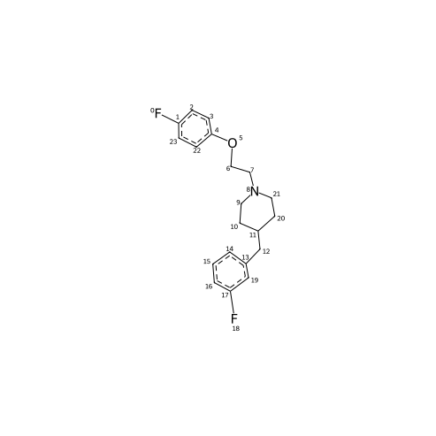 Fc1ccc(OCCN2CCC(Cc3cccc(F)c3)CC2)cc1